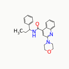 CCC(NC(=O)c1cc(N2CCOCC2)nc2ccccc12)c1ccccc1